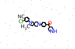 CC1CC2(CCN(c3ccc(C(=O)C4CCNCC4)cc3)CC2)CN1c1ccc(C#N)c(Cl)c1